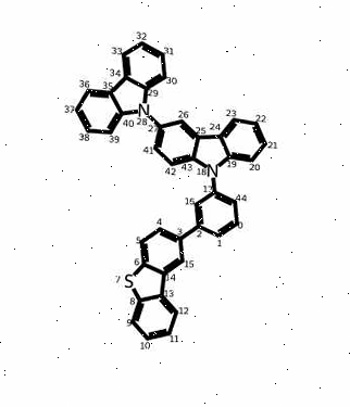 c1cc(-c2ccc3sc4ccccc4c3c2)cc(-n2c3ccccc3c3cc(-n4c5ccccc5c5ccccc54)ccc32)c1